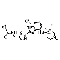 CN1CC[C@@](C)(Nc2cccc3c2cc(-c2ncc(CNC(=O)C4CC4)s2)n3CC(F)(F)F)[C@@H](F)C1